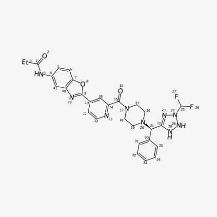 CCC(=O)Nc1ccc2oc(-c3ccnc(C(=O)N4CCN([C@@H](C5=NN(C(F)F)NN5)c5ccccc5)CC4)c3)nc2c1